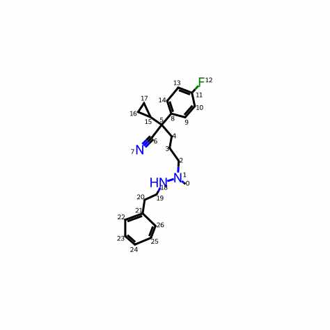 CN(CCCC(C#N)(c1ccc(F)cc1)C1CC1)NCCc1ccccc1